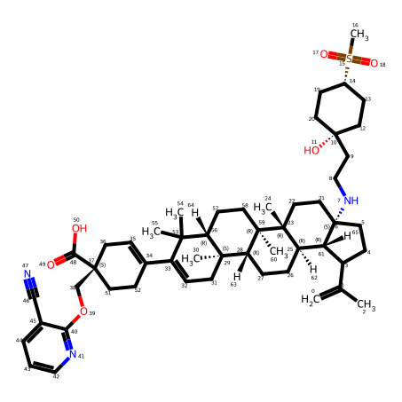 C=C(C)C1CC[C@]2(NCC[C@]3(O)CC[C@@H](S(C)(=O)=O)CC3)CC[C@]3(C)[C@H](CC[C@@H]4[C@@]5(C)CC=C(C6=CC[C@@](COc7ncccc7C#N)(C(=O)O)CC6)C(C)(C)[C@@H]5CC[C@]43C)[C@@H]12